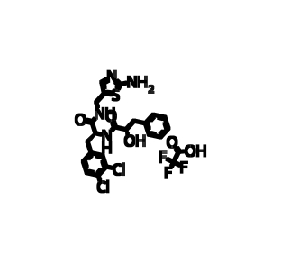 Nc1ncc(CNC(=O)[C@H](Cc2ccc(Cl)c(Cl)c2)NC(=O)[C@H](O)Cc2ccccc2)s1.O=C(O)C(F)(F)F